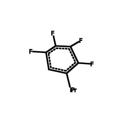 CC(C)c1cc(F)c(F)c(F)c1F